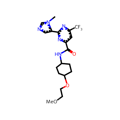 COCCOC1CCC(NC(=O)c2cc(C(F)(F)F)nc(-c3cncn3C)n2)CC1